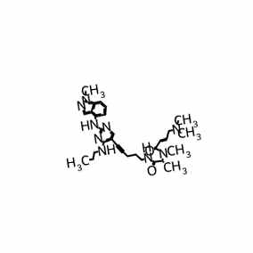 CCCNc1nc(Nc2cccc3c2cnn3C)ncc1C#CCCCNC(=O)[C@H](C)N(C)C(=O)/C=C/CN(C)C